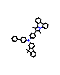 Cc1c(-c2ccc(N(c3ccc(-c4ccccc4)cc3)c3ccc4c(c3)C(C)(C)c3ccccc3-4)cc2)c(C)n2c3ccccc3c3ccccc3c12